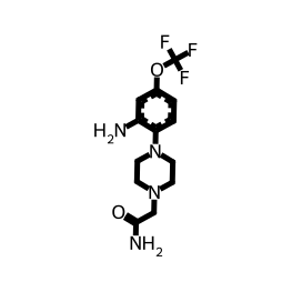 NC(=O)CN1CCN(c2ccc(OC(F)(F)F)cc2N)CC1